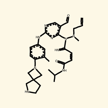 C=CCN(C)N(C(=N)/C=C\C(=O)NC(C)C)c1nc(Nc2ccc(N3CC4(CCNC4)C3)c(C)c2)ncc1C=O